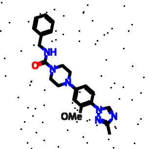 COc1cc(N2CCN(C(=O)NCc3ccccc3)CC2)ccc1-n1cnc(C)n1